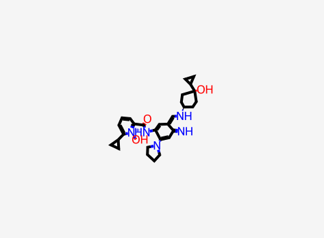 N=C1C=C(N2CCCC2)C(NC(=O)c2cccc(C3CC3)[n+]2O)=C/C1=C/N[C@H]1CC[C@@](O)(C2CC2)CC1